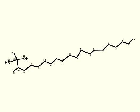 CCCCCCCCCCCCCCCCCCC(C)C(C)(O)S